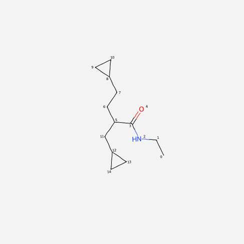 CCNC(=O)C(CCC1CC1)CC1CC1